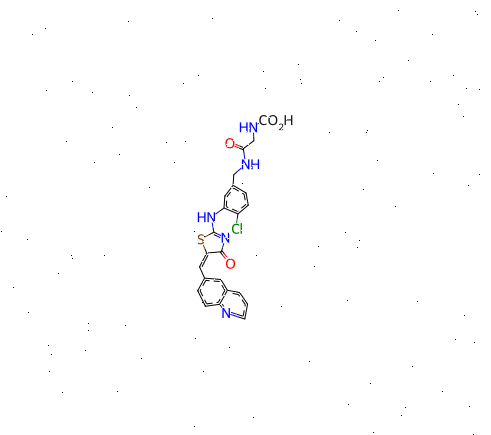 O=C(O)NCC(=O)NCc1ccc(Cl)c(NC2=NC(=O)C(=Cc3ccc4ncccc4c3)S2)c1